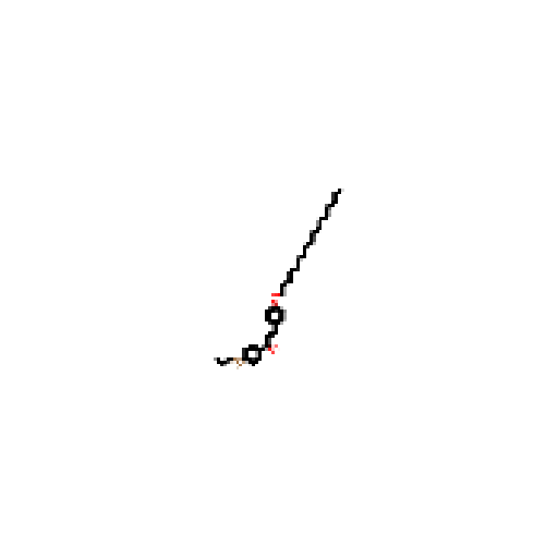 CCCCCCCCCCCCCCCCCOc1ccc(/C=C/C(=O)c2ccc(SCCC)cc2)cc1